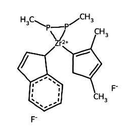 CC1=CC(C)=[C]([Zr+2]2([CH]3C=Cc4ccccc43)[P](C)[P]2C)C1.[F-].[F-]